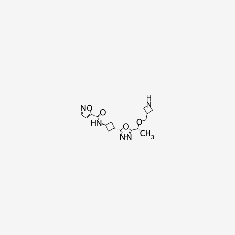 C[C@@H](OCC1CNC1)c1nnc([C@H]2C[C@H](NC(=O)c3ccno3)C2)o1